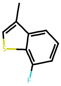 Cc1csc2c(F)cccc12